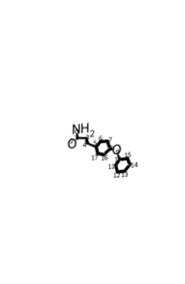 NC(=O)C=Cc1ccc(Oc2ccccc2)cc1